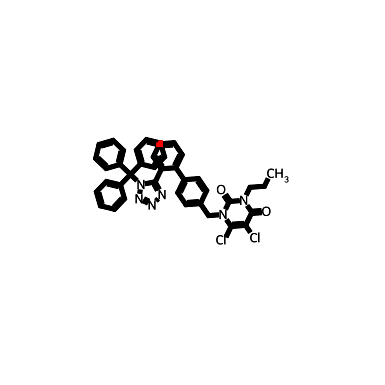 CCCn1c(=O)c(Cl)c(Cl)n(Cc2ccc(-c3ccccc3-c3nnnn3C(c3ccccc3)(c3ccccc3)c3ccccc3)cc2)c1=O